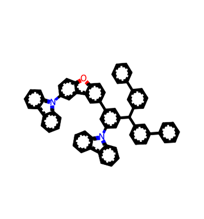 c1ccc(-c2cccc(C(c3cccc(-c4ccccc4)c3)c3cc(-c4ccc5oc6ccc(-n7c8ccccc8c8ccccc87)cc6c5c4)cc(-n4c5ccccc5c5ccccc54)c3)c2)cc1